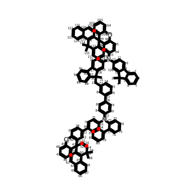 CC1(C)c2ccccc2-c2ccc(N(c3ccc4c(c3)C(C)(Cc3cccc(-c5ccc(N(c6ccc(-c7ccc8c(c7)C7(c9ccccc9O8)c8ccccc8C(C)(C)c8c7ccc7ccccc87)cc6)c6ccccc6-c6ccccc6)cc5)c3)c3ccccc3-4)c3ccc4c(c3)C3(c5ccccc5O4)c4ccccc4C(C)(C)c4c3ccc3ccccc43)cc21